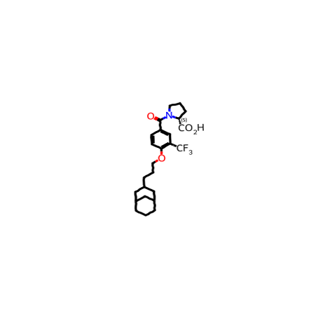 O=C(O)[C@@H]1CCCN1C(=O)c1ccc(OCCCC2CC3CCCC(C2)C3)c(C(F)(F)F)c1